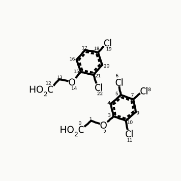 O=C(O)COc1cc(Cl)c(Cl)cc1Cl.O=C(O)COc1ccc(Cl)cc1Cl